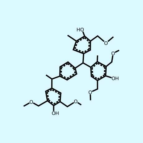 COCc1cc(C(c2ccc(C(C)c3cc(COC)c(O)c(COC)c3)cc2)c2cc(COC)c(O)c(COC)c2C)cc(C)c1O